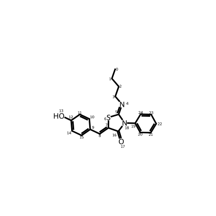 CCCC/N=C1\S/C(=C\c2ccc(O)cc2)C(=O)N1c1ccccc1